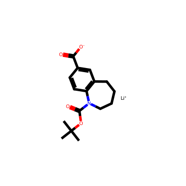 CC(C)(C)OC(=O)N1CCCCc2cc(C(=O)[O-])ccc21.[Li+]